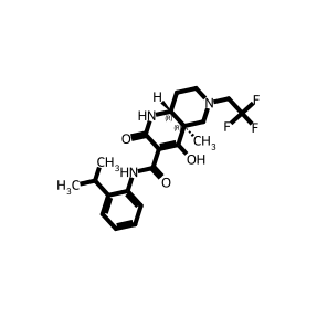 CC(C)c1ccccc1NC(=O)C1=C(O)[C@]2(C)CN(CC(F)(F)F)CC[C@H]2NC1=O